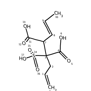 C=CCC(C(=O)O)(C(C=CC)C(=O)O)S(=O)(=O)O